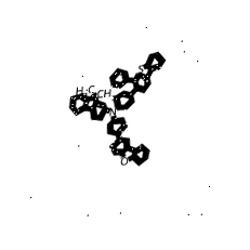 CC1(C)c2ccccc2-c2ccc(N(c3ccc(-c4ccc5oc6ccccc6c5c4)cc3)c3ccc(-c4ccc5c(sc6ccccc65)c4-c4ccccc4)cc3)cc21